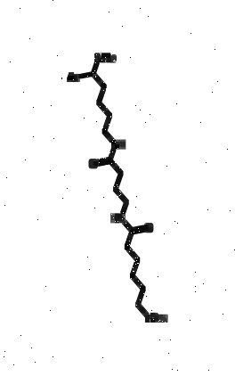 CCCCCCCCCCCCCCCC(=O)NCCCC(=O)NCCCCC(NC)C(C)=O